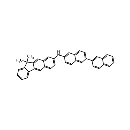 CC1(C)c2ccccc2-c2cc3ccc(Nc4ccc5cc(-c6ccc7ccccc7c6)ccc5c4)cc3cc21